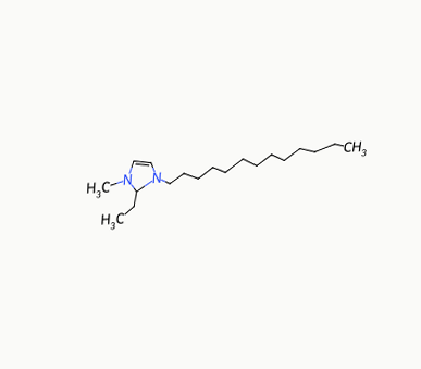 CCCCCCCCCCCCCN1C=CN(C)C1CC